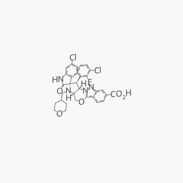 O=C(O)c1ccc2c3n(nc2c1)[C@@H]1[C@H](CO3)N(CC2CCOCC2)[C@@]2(C(=O)Nc3cc(Cl)ccc32)[C@H]1c1cccc(Cl)c1F